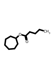 CCC[CH]C(=O)OC1CCCCCC1